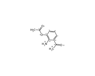 CC(=O)Oc1cccc(C(C)=O)c1N